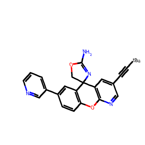 CC(C)(C)C#Cc1cnc2c(c1)C1(COC(N)=N1)c1cc(-c3cccnc3)ccc1O2